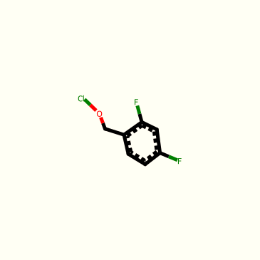 Fc1ccc(COCl)c(F)c1